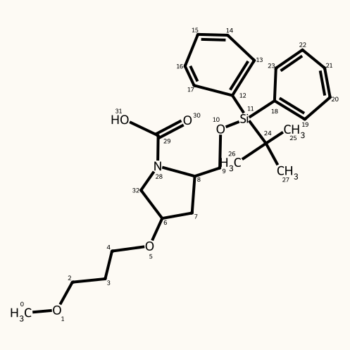 COCCCOC1CC(CO[Si](c2ccccc2)(c2ccccc2)C(C)(C)C)N(C(=O)O)C1